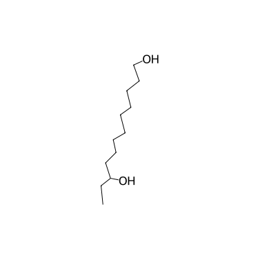 CCC(O)CCCCCCCCCO